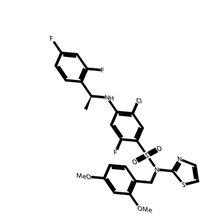 COc1ccc(CN(c2nccs2)S(=O)(=O)c2cc(Cl)c(N[C@@H](C)c3ccc(F)cc3F)cc2F)c(OC)c1